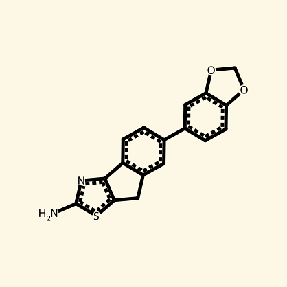 Nc1nc2c(s1)Cc1cc(-c3ccc4c(c3)OCO4)ccc1-2